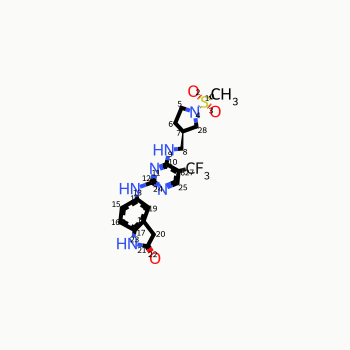 CS(=O)(=O)N1CC[C@H](CNc2nc(Nc3ccc4c(c3)CC(=O)N4)ncc2C(F)(F)F)C1